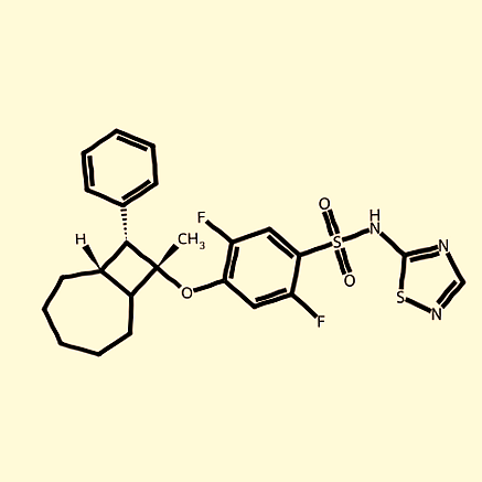 C[C@@]1(Oc2cc(F)c(S(=O)(=O)Nc3ncns3)cc2F)C2CCCCC[C@@H]2[C@@H]1c1ccccc1